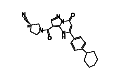 N#C[C@@H]1CCN(C(=O)c2cnn3c(=O)cc(-c4ccc(C5CCCCC5)cc4)[nH]c23)C1